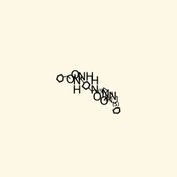 CN1CC[C@H](c2ccccc2)C[C@@H]1C(=O)N1CC[C@H]1C(=O)NCc1ccc(C(=N)NC(=O)OCc2ccccc2)cc1